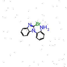 Nc1ccccc1-n1c(Br)nc2ccccc21